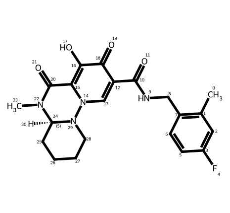 Cc1cc(F)ccc1CNC(=O)c1cn2c(c(O)c1=O)C(=O)N(C)[C@@H]1CCCCN12